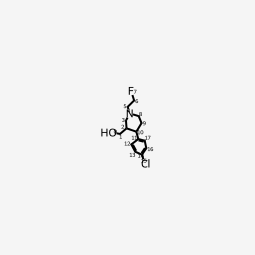 OCC1CN(CCF)CCC1c1ccc(Cl)cc1